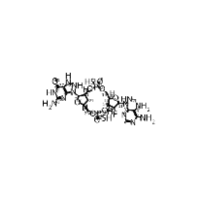 CNN(c1ncnc(N)c1N)[C@@H]1O[C@@H]2COP(=O)(S)O[C@H]3C[C@@H](COP(=O)(S)O[C@H]2[C@@H]1F)O[C@H]3N1NNc2c1nc(N)[nH]c2=O